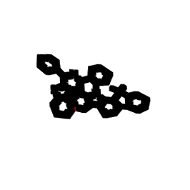 CC1(C)c2ccccc2-c2ccc3c4ccccc4n(-c4ccccc4-c4nc(-c5ccccc5)c5sc6ccccc6c5n4)c3c21